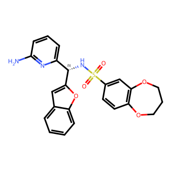 Nc1cccc([C@H](NS(=O)(=O)c2ccc3c(c2)OCCCO3)c2cc3ccccc3o2)n1